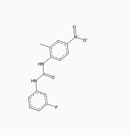 Cc1cc([N+](=O)[O-])ccc1NC(=O)Nc1cccc(F)c1